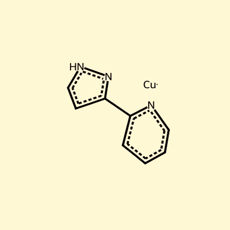 [Cu].c1ccc(-c2cc[nH]n2)nc1